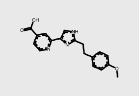 COc1ccc(CCc2nc(-c3cc(C(=O)O)ccn3)c[nH]2)cc1